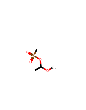 CCOC(C)OS(C)(=O)=O